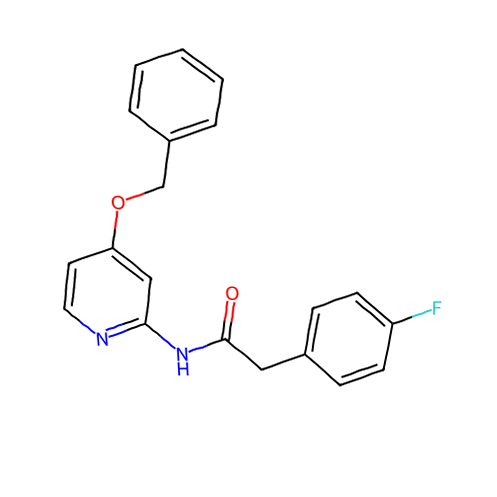 O=C(Cc1ccc(F)cc1)Nc1cc(OCc2ccccc2)ccn1